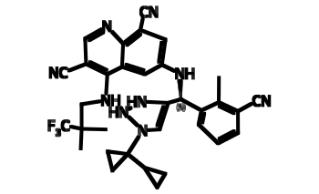 Cc1c(C#N)cccc1[C@H](Nc1cc(C#N)c2ncc(C#N)c(NCC(C)(C)C(F)(F)F)c2c1)C1=CN(C2(C3CC3)CC2)NN1